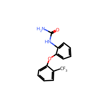 NC(=O)Nc1ccccc1Oc1ccccc1C(F)(F)F